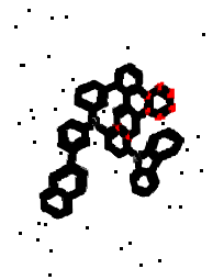 c1ccc(-c2ccccc2-c2c(-c3ccccc3)cccc2-c2cccc(N(c3ccc(-n4c5ccccc5c5ccccc54)cc3)c3cccc(-c4ccc5ccccc5c4)c3)c2)cc1